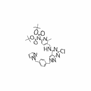 Cc1cc(N(C(=O)OC(C)(C)C)C(=O)OC(C)(C)C)nc(C)c1CNc1nc(Cl)nc2nn(Cc3ccc(Cn4cccn4)cc3)cc12